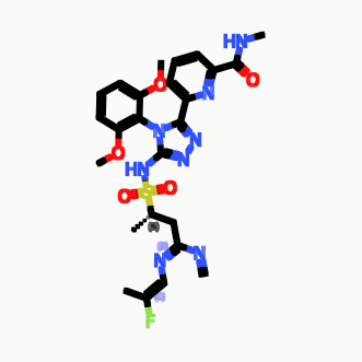 C=N/C(C[C@H](C)S(=O)(=O)Nc1nnc(-c2cccc(C(=O)NC)n2)n1-c1c(OC)cccc1OC)=N\C=C(/C)F